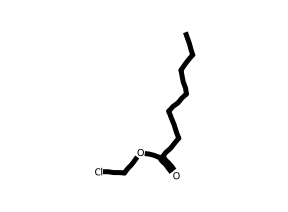 CCCCCCC(=O)OCCl